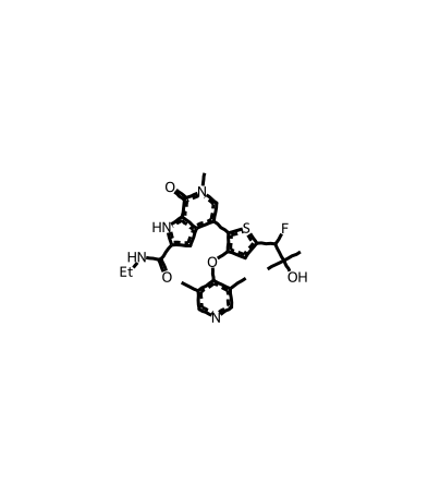 CCNC(=O)c1cc2c(-c3sc(C(F)C(C)(C)O)cc3Oc3c(C)cncc3C)cn(C)c(=O)c2[nH]1